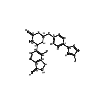 Cc1ncn(-c2ccc(CN3CC(=O)NC(c4ccc5c(c4C)COC5=O)C3)cn2)n1